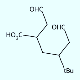 CC(C)(C)C(CC=O)CC(CC=O)C(=O)O